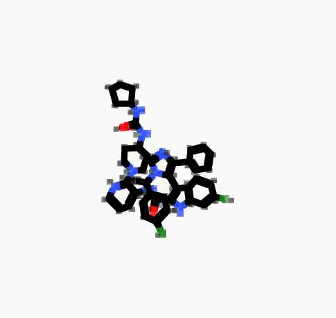 CC(c1ccc(Cl)cc1)n1cnc(-c2ccccc2)c1-c1c(C(=O)Nc2cccnc2N2CCC(NC(=O)NC3CCCC3)CC2)[nH]c2cc(Cl)ccc12